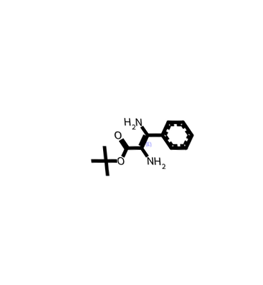 CC(C)(C)OC(=O)/C(N)=C(\N)c1ccccc1